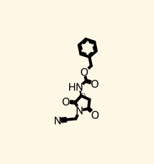 N#CCN1C(=O)C[C@H](NC(=O)OCc2ccccc2)C1=O